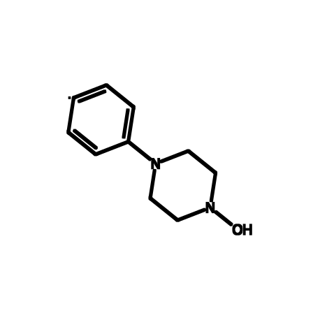 ON1CCN(c2cc[c]cc2)CC1